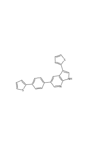 c1csc(-c2ccc(-c3cnc4[nH]cc(-c5cccs5)c4c3)cc2)c1